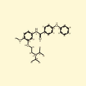 COc1ccc(NC(=O)c2ccc(Oc3ccccc3)cc2)cc1OCCN(C(C)C)C(C)C